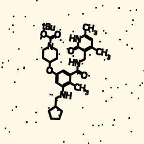 Cc1cc(C)c(CNC(=O)c2cc(OC3CCN(C(=O)OC(C)(C)C)CC3)cc(NCC3CCCC3)c2C)c(=O)[nH]1